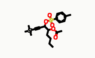 CCCCC(OC(C)=O)C(C#C[Si](C)(C)C)OS(=O)(=O)c1ccc(C)cc1